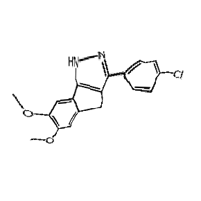 COc1cc2c(cc1OC)-c1[nH]nc(-c3ccc(Cl)cc3)c1C2